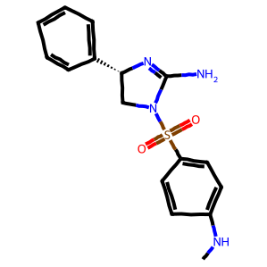 CNc1ccc(S(=O)(=O)N2C[C@H](c3ccccc3)N=C2N)cc1